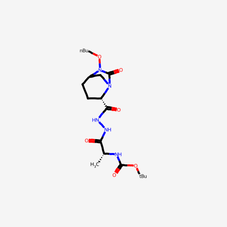 CCCCON1C(=O)N2CC1CC[C@H]2C(=O)NNC(=O)[C@@H](C)NC(=O)OC(C)(C)C